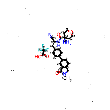 CN1Cc2ccc(-c3ccc(C[C@@H](C#N)NC(=O)C4(N)CCOCC4)cc3)cc2C1=O.O=C(O)C(F)(F)F